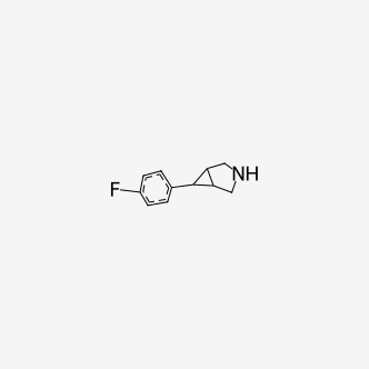 Fc1ccc(C2C3CNCC32)cc1